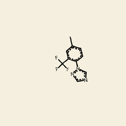 Cc1ccc(-n2cncn2)c(C(F)(F)F)c1